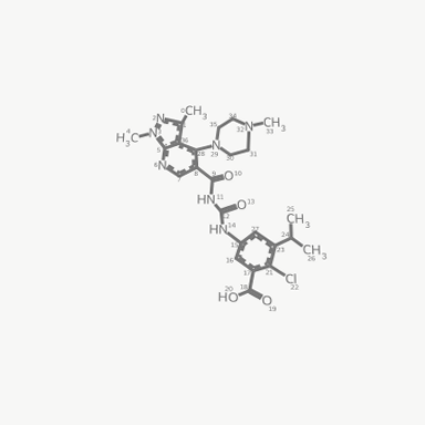 Cc1nn(C)c2ncc(C(=O)NC(=O)Nc3cc(C(=O)O)c(Cl)c(C(C)C)c3)c(N3CCN(C)CC3)c12